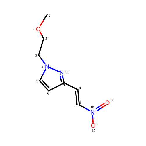 COCCn1ccc(/C=C/[N+](=O)[O-])n1